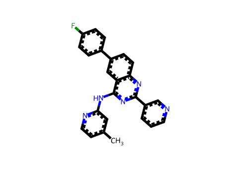 Cc1ccnc(Nc2nc(-c3cccnc3)nc3ccc(-c4ccc(F)cc4)cc23)c1